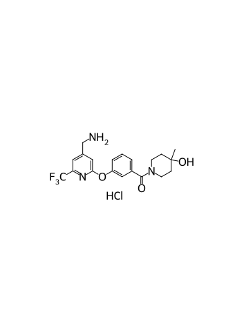 CC1(O)CCN(C(=O)c2cccc(Oc3cc(CN)cc(C(F)(F)F)n3)c2)CC1.Cl